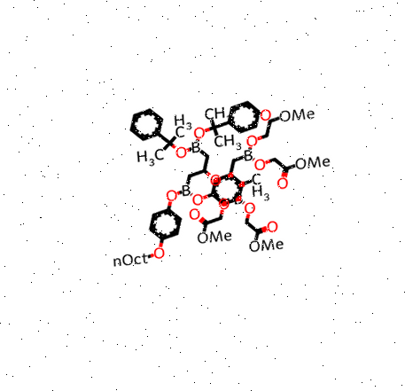 CCCCCCCCOc1ccc(OB(CC(CB(OC(C)(C)c2ccccc2)OC(C)(C)c2ccccc2)OC(CB(OCC(=O)OC)OCC(=O)OC)CB(OCC(=O)OC)OCC(=O)OC)Oc2ccc(C)cc2)cc1